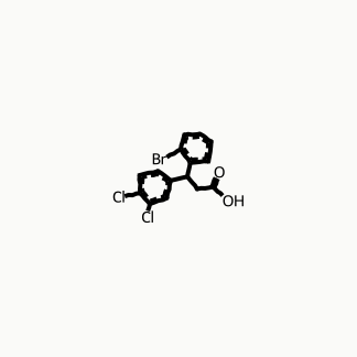 O=C(O)CC(c1ccc(Cl)c(Cl)c1)c1ccccc1Br